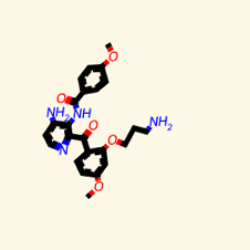 COc1ccc(C(=O)Nc2c(N)ccnc2C(=O)c2ccc(OC)cc2OCCCN)cc1